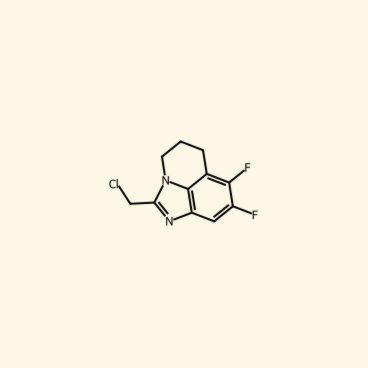 Fc1cc2nc(CCl)n3c2c(c1F)CCC3